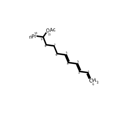 C=C/C=C/C=C/CCCC(CCC)OC(C)=O